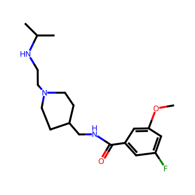 COc1cc(F)cc(C(=O)NCC2CCN(CCNC(C)C)CC2)c1